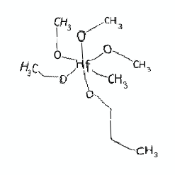 CCC[O][Hf]([CH3])([O]C)([O]C)([O]C)[O]C